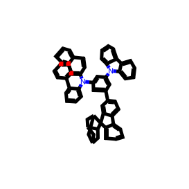 c1ccc(-c2ccccc2N(c2cc(-c3ccc4c(c3)C3(c5ccccc5-4)C4CC5CC(C4)C3C5)cc(-n3c4ccccc4c4ccccc43)c2)c2ccc3ccccc3c2)cc1